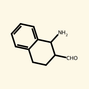 NC1c2ccccc2CCC1C=O